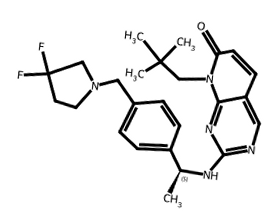 C[C@H](Nc1ncc2ccc(=O)n(CC(C)(C)C)c2n1)c1ccc(CN2CCC(F)(F)C2)cc1